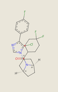 O=C(C1CCC(F)(F)CC1)N1[C@@H]2CC[C@H]1C[C@H](n1cnc(-c3ccc(F)cc3)c1Cl)C2